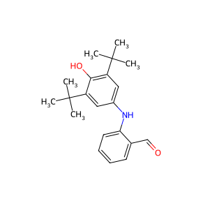 CC(C)(C)c1cc(Nc2ccccc2C=O)cc(C(C)(C)C)c1O